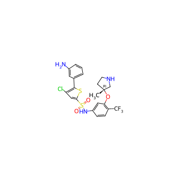 C[C@@]1(Oc2cc(NS(=O)(=O)c3cc(Cl)c(-c4cccc(N)c4)s3)ccc2C(F)(F)F)CCNC1